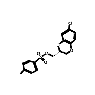 Cc1ccc(S(=O)(=O)OC[C@H]2COc3ccc(Cl)cc3O2)cc1